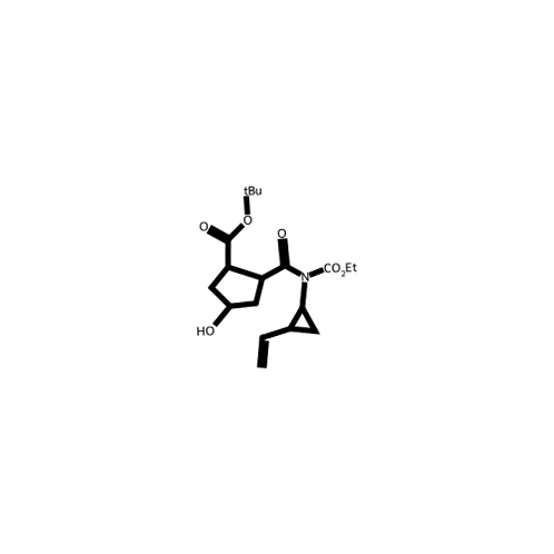 C=CC1CC1N(C(=O)OCC)C(=O)C1CC(O)CC1C(=O)OC(C)(C)C